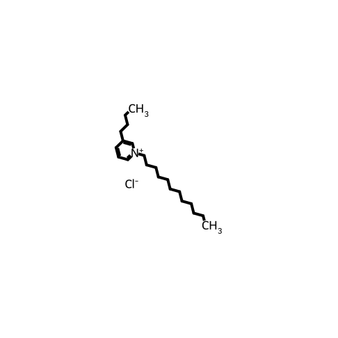 CCCCCCCCCCCC[n+]1cccc(CCCC)c1.[Cl-]